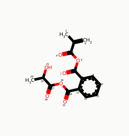 C=C(C)C(=O)OC(=O)c1ccccc1C(=O)OC(=O)C(C)O